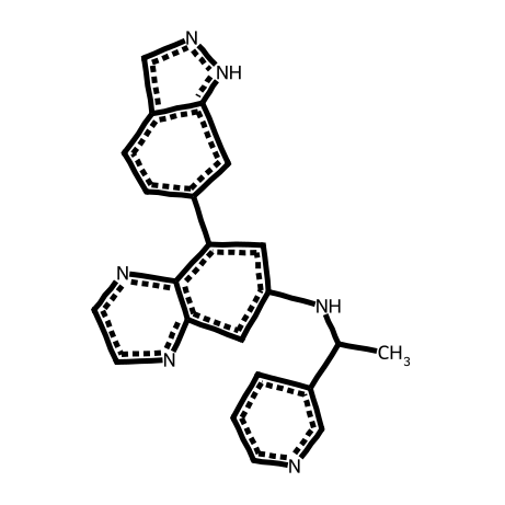 CC(Nc1cc(-c2ccc3cn[nH]c3c2)c2nccnc2c1)c1cccnc1